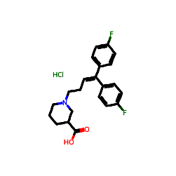 Cl.O=C(O)C1CCCN(CCC=C(c2ccc(F)cc2)c2ccc(F)cc2)C1